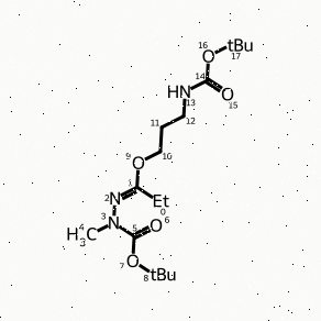 CC/C(=N\N(C)C(=O)OC(C)(C)C)OCCCNC(=O)OC(C)(C)C